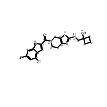 O=C(c1cc2c(Cl)cc(F)cc2[nH]1)N1CCc2nc(NCC3(O)CCC3)sc2C1